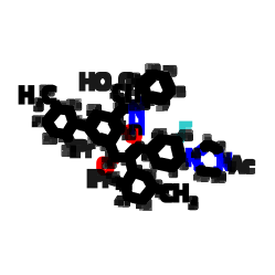 CC(=O)N1CCN(c2ccc(-c3oc4c([C@@H](C)Nc5ccccc5C(=O)O)cc(C5CC(C)CCC5C(C)C)cc4c(=O)c3C3CC(C)CCC3C(C)C)cc2F)CC1